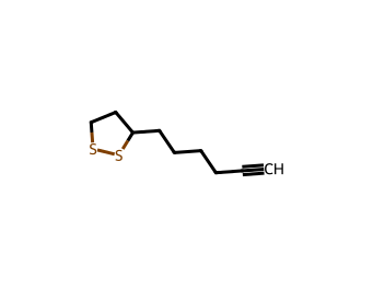 C#CCCCCC1CCSS1